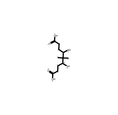 CC(C)(C(S)CCC(=O)O)C(S)CCC(=O)O